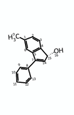 Cc1ccc2c(c1)C(c1ccccc1)=C[C@H]2O